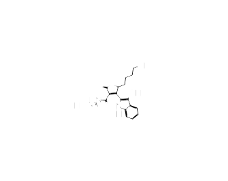 CCCCCC1OC(=O)C(C(=O)NOC)=C1c1[nH]c2ccccc2c1C